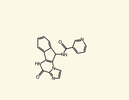 O=C(NC1c2ccccc2-c2[nH]c(=O)c3nccn3c21)c1cccnc1